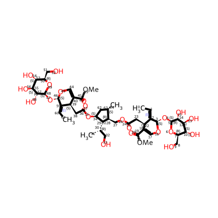 C/C=C1/[C@H](O[C@@H]2O[C@H](CO)[C@@H](O)[C@H](O)[C@H]2O)OC=C(C(=O)OC)[C@H]1CC(=O)OC[C@H]1[C@H]([C@@H](C)CO)[C@@H](OC(=O)C[C@@H]2C(C(=O)OC)=CO[C@@H](O[C@@H]3O[C@H](CO)[C@@H](O)[C@H](O)[C@H]3O)/C2=C/C)C[C@@H]1C